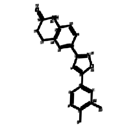 Cc1ccc(-c2cc(-c3ccc4c(c3)CCC(=O)N4)no2)cc1C